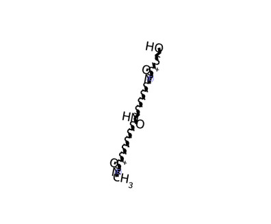 C/N=C/[S+]([O-])CSCSCSCSCSC(=O)NCSCSCSCSC/N=C/[S+]([O-])CCSCCO